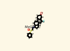 CO/C(C[S+]([O-])c1ccccc1)=C1/CC[C@H]2[C@@H]3C[C@H](F)C4=CC(=O)CC[C@]4(C)C3=CC[C@]12C